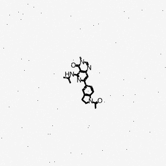 CC(=O)N1CCc2cc(-c3cc4ncn(C)c(=O)c4c(NC(C)C)n3)ccc21